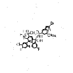 COc1cc(C(=O)NC[C@@](O)(c2cccc(F)c2)c2cc(C(C)(C)O)c(F)c(-c3cc(Cl)c(F)cc3F)n2)cc2cc(C3CC3)nn12